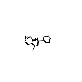 Cc1cc(-c2ccccc2)nc2cnccc12